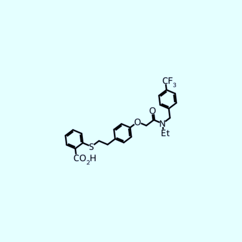 CCN(Cc1ccc(C(F)(F)F)cc1)C(=O)COc1ccc(CCSc2ccccc2C(=O)O)cc1